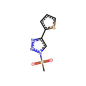 CS(=O)(=O)n1cc(-c2cccs2)nn1